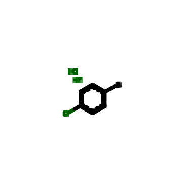 Cl.Cl.[Si]c1ccc(Cl)cc1